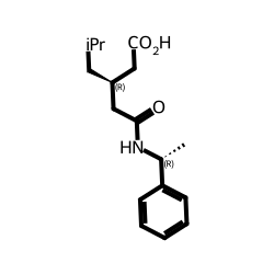 CC(C)C[C@@H](CC(=O)O)CC(=O)N[C@H](C)c1ccccc1